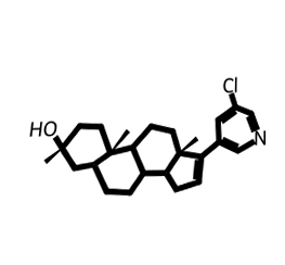 C[C@@]1(O)CC[C@@]2(C)C(CCC3C2CC[C@]2(C)C(c4cncc(Cl)c4)=CCC32)C1